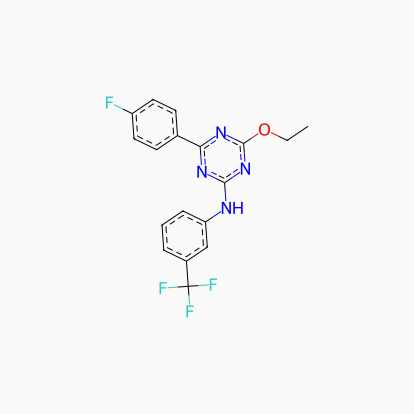 CCOc1nc(Nc2cccc(C(F)(F)F)c2)nc(-c2ccc(F)cc2)n1